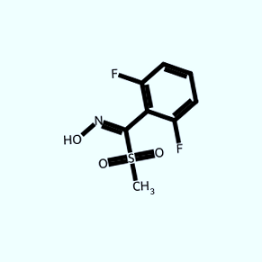 CS(=O)(=O)C(=NO)c1c(F)cccc1F